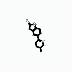 CC1CCC(c2ccc3c(c2)CC(=O)N3)=NC1